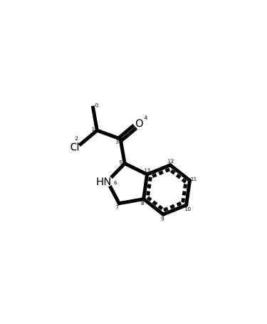 CC(Cl)C(=O)C1NCc2ccccc21